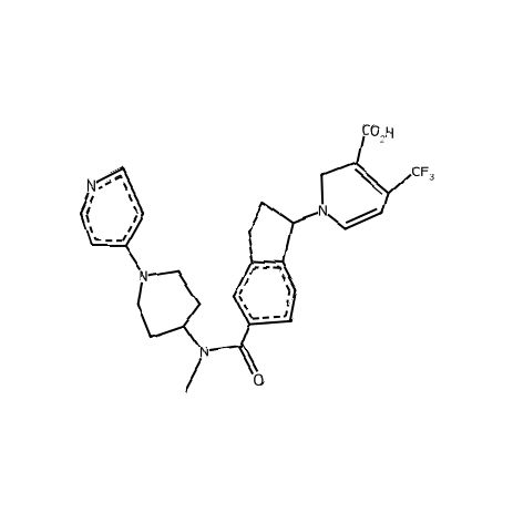 CN(C(=O)c1ccc2c(c1)CCC2N1C=CC(C(F)(F)F)=C(C(=O)O)C1)C1CCN(c2ccncc2)CC1